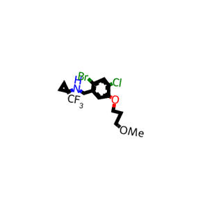 COCCCOc1cc(CNC2(C(F)(F)F)CC2)c(Br)cc1Cl